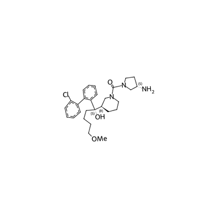 COCCCC[C@@](O)(c1ccccc1-c1ccccc1Cl)[C@@H]1CCCN(C(=O)N2CC[C@H](N)C2)C1